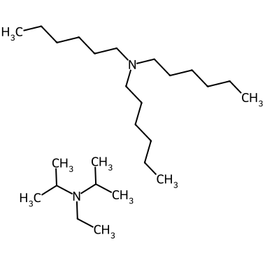 CCCCCCN(CCCCCC)CCCCCC.CCN(C(C)C)C(C)C